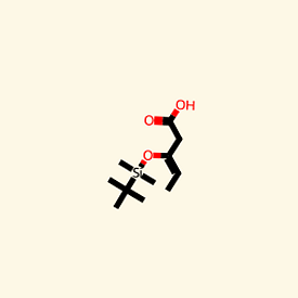 CC=C(CC(=O)O)O[Si](C)(C)C(C)(C)C